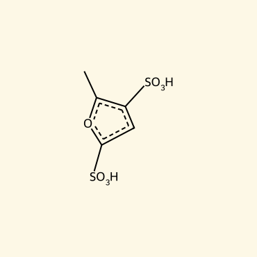 Cc1oc(S(=O)(=O)O)cc1S(=O)(=O)O